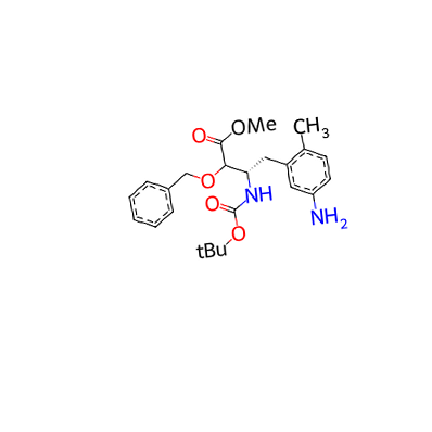 COC(=O)C(OCc1ccccc1)[C@H](Cc1cc(N)ccc1C)NC(=O)OC(C)(C)C